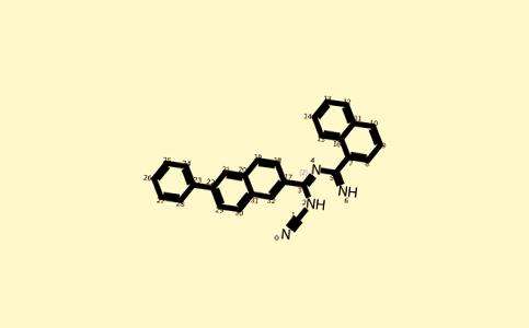 N#CN/C(=N\C(=N)c1cccc2ccccc12)c1ccc2cc(-c3ccccc3)ccc2c1